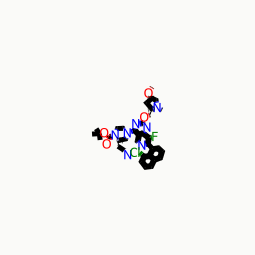 CO[C@@H]1C[C@@H](COc2nc(N3CCN(C(=O)OC(C)(C)C)[C@@H](CC#N)C3)c3cnc(-c4cccc5cccc(Cl)c45)c(F)c3n2)N(C)C1